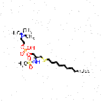 CCCCCCCCCCCCCCCCCCSC[C@H](COP(=O)(O)OCC[N+](C)(C)C)NS(C)(=O)=O